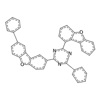 c1ccc(-c2ccc3oc4ccc(-c5nc(-c6ccccc6)nc(-c6cccc7oc8ccccc8c67)n5)cc4c3c2)cc1